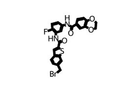 O=C(Nc1ccc(F)c(NC(=O)c2cc3ccc(CBr)cc3s2)c1)c1ccc2c(c1)OCCO2